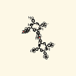 O=S(=O)([O-])c1ccc(-c2c3nc(c(-c4ccc(S(=O)(=O)[O-])cc4)c4ccc([nH]4)c(-c4ccc(S(=O)(=O)[O-])cc4)c4nc(c(-c5ccc(O)cc5)c5ccc2[nH]5)C=C4)C=C3)cc1.O=S(=O)([O-])c1ccc(-c2c3nc(c(-c4ccc(S(=O)(=O)[O-])cc4)c4ccc([nH]4)c(-c4ccc(S(=O)(=O)[O-])cc4)c4nc(c(-c5ccc(O)cc5)c5ccc2[nH]5)C=C4)C=C3)cc1.[Zn+2].[Zn+2].[Zn+2]